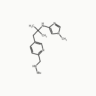 Cn1cnc(NC(C)(C)Cc2ccc(CNC(C)(C)C)nc2)c1